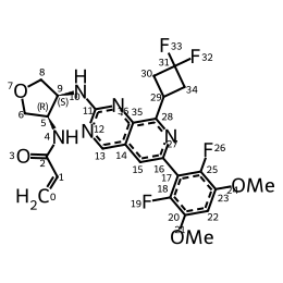 C=CC(=O)N[C@H]1COC[C@H]1Nc1ncc2cc(-c3c(F)c(OC)cc(OC)c3F)nc(C3CC(F)(F)C3)c2n1